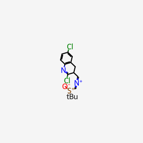 CC(C)(C)[S+]([O-])C=[N+]=CC1Cc2cc(Cl)ccc2N=C1Cl